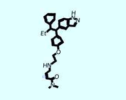 CCC(c1ccccc1)C(c1ccc(OCCNC/C=C\C(=O)N(C)C)cc1)c1ccc2[nH]ncc2c1